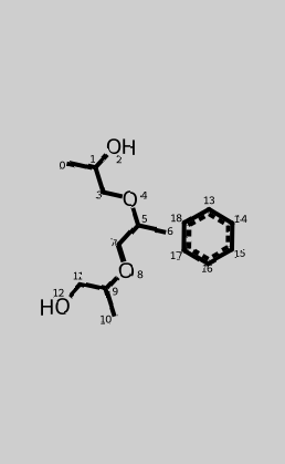 CC(O)COC(C)COC(C)CO.c1ccccc1